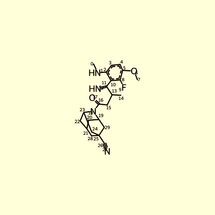 CNc1ccc(OC)c(F)c1C(=N)C(C)CC(=O)N1C2CC3CC1CC(C#N)(C3)C2